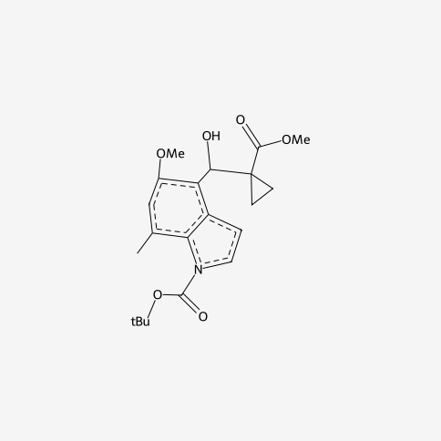 COC(=O)C1(C(O)c2c(OC)cc(C)c3c2ccn3C(=O)OC(C)(C)C)CC1